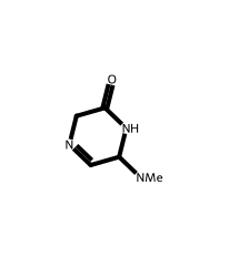 CNC1C=NCC(=O)N1